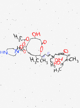 CC[C@H](O)[C@@H](C)[C@H]1O[C@@H]1C[C@@](C)(O)/C=C/C=C(\C)C1OC(=O)CC(O)CCC(C)(OC(C)=O)C(OC(=O)N2CCNCC2)C=CC1C